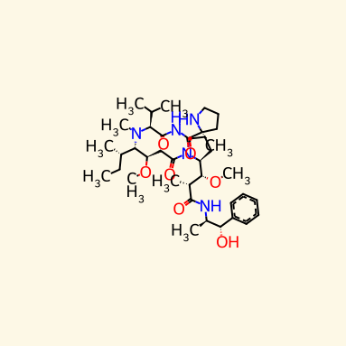 CC[C@H](C)[C@@H]([C@@H](CC(=O)N1CCC[C@H]1[C@H](OC)[C@@H](C)C(=O)N[C@H](C)[C@@H](O)c1ccccc1)OC)N(C)[C@H](C(=O)NC(=O)[C@]1(C)CCCN1)C(C)C